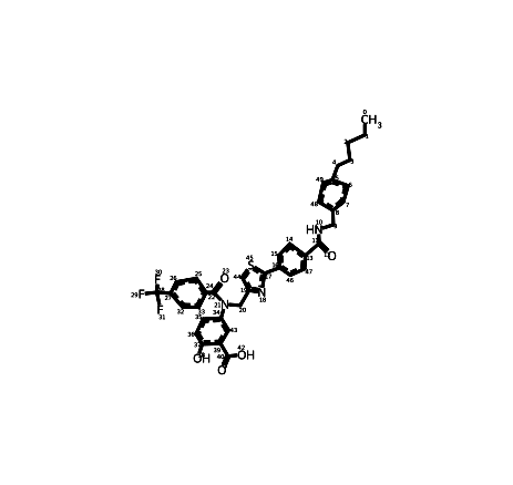 CCCCCc1ccc(CNC(=O)c2ccc(-c3nc(CN(C(=O)c4ccc(C(F)(F)F)cc4)c4ccc(O)c(C(=O)O)c4)cs3)cc2)cc1